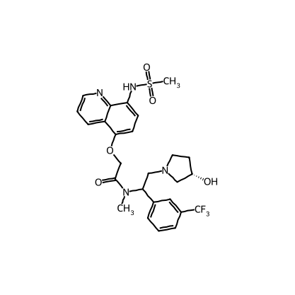 CN(C(=O)COc1ccc(NS(C)(=O)=O)c2ncccc12)C(CN1CC[C@H](O)C1)c1cccc(C(F)(F)F)c1